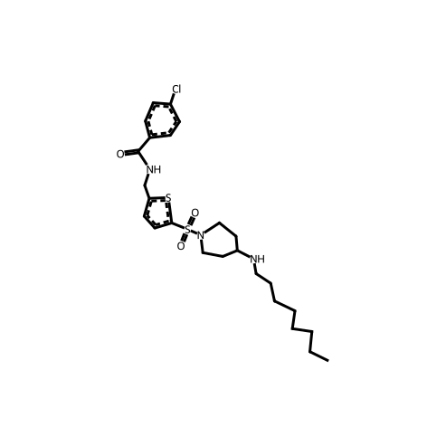 CCCCCCCCNC1CCN(S(=O)(=O)c2ccc(CNC(=O)c3ccc(Cl)cc3)s2)CC1